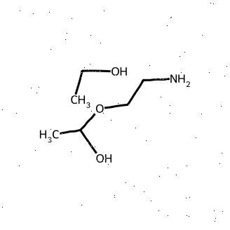 CC(O)OCCN.CCO